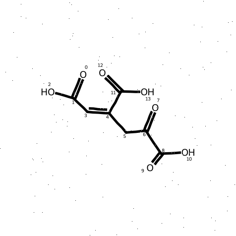 O=C(O)C=C(CC(=O)C(=O)O)C(=O)O